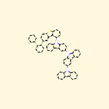 c1ccc(-c2ccccc2-c2ccc3sc4cccc(-n5c6ccccc6c6cc(-n7c8ccccc8c8cc(-n9c%10ccccc%10c%10ccccc%109)ccc87)ccc65)c4c3c2)cc1